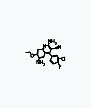 CCOc1cc2nc(N)c(C#N)c(-c3ccc(F)c(Cl)c3)c2cc1N